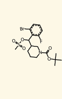 CC(C)(C)OC(=O)N1CCCC(C(OS(C)(=O)=O)c2c(F)cccc2Br)C1